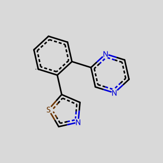 [c]1cccc(-c2cnccn2)c1-c1cncs1